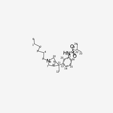 CCCCCCN1CC2C(C1)C2(C)c1cccc(NS(=O)(=O)C(C)C)c1